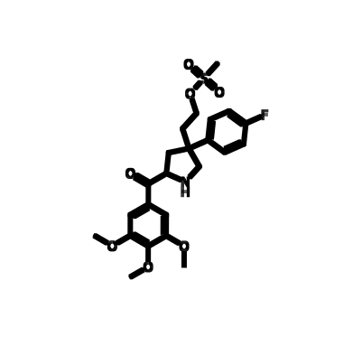 COc1cc(C(=O)C2CC(CCOS(C)(=O)=O)(c3ccc(F)cc3)CN2)cc(OC)c1OC